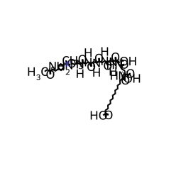 CCC(=O)[C@@H](N)Cc1ccc(/C(C)=N/OCCNC(=O)CNC(=O)CNC(=O)CNC(=O)CNC(=O)[C@H](CO)NC(=O)CC[C@H](NC(=O)CCCCCCCCCCCCCC(=O)O)C(=O)O)cc1